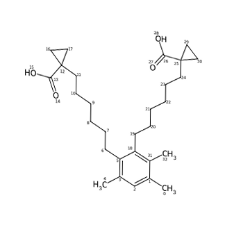 Cc1cc(C)c(CCCCCCC2(C(=O)O)CC2)c(CCCCCCC2(C(=O)O)CC2)c1C